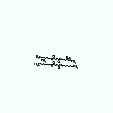 CC(C)CCCCCOC(=O)C=CC(=O)OCCCCCC(C)C.CCCCCCCCOC(=O)C=CC(=O)OCCCCCCCC